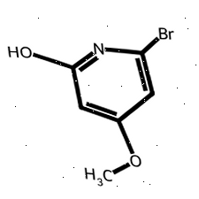 COc1cc(O)nc(Br)c1